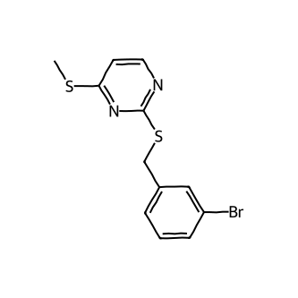 CSc1ccnc(SCc2cccc(Br)c2)n1